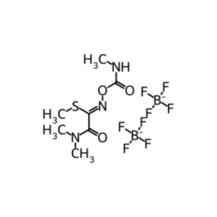 CNC(=O)ON=C(SC)C(=O)N(C)C.F[B-](F)(F)F.F[B-](F)(F)F